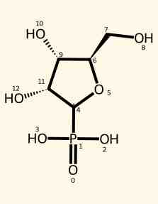 O=P(O)(O)[C]1O[C@H](CO)[C@@H](O)[C@H]1O